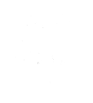 C=C=C(NC)NCC1CCCC(CC2CC2CCCCC)C1